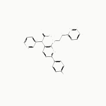 NC(=O)C(c1cccnc1)c1ccc(-c2ccc(F)cc2)nc1NCCc1ccccn1